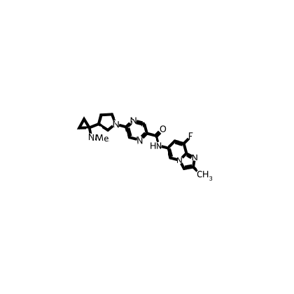 CNC1(C2CCN(c3cnc(C(=O)Nc4cc(F)c5nc(C)cn5c4)cn3)C2)CC1